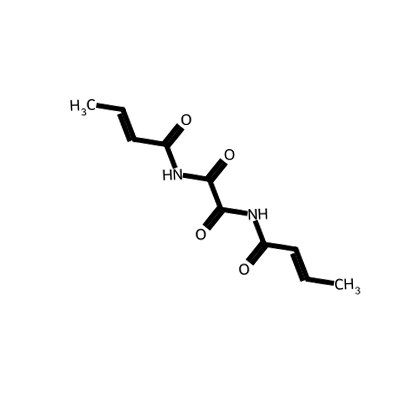 CC=CC(=O)NC(=O)C(=O)NC(=O)C=CC